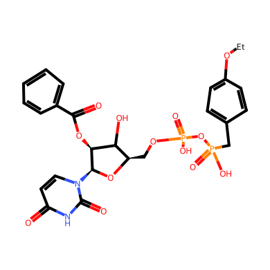 CCOc1ccc(CP(=O)(O)OP(=O)(O)OC[C@H]2O[C@@H](n3ccc(=O)[nH]c3=O)[C@@H](OC(=O)c3ccccc3)C2O)cc1